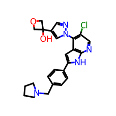 OC1(c2cnn(-c3c(Cl)cnc4[nH]c(-c5ccc(CN6CCCC6)cc5)cc34)c2)COC1